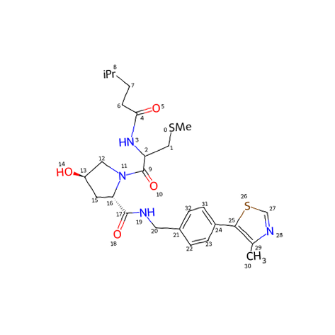 CSCC(NC(=O)CCC(C)C)C(=O)N1C[C@H](O)C[C@H]1C(=O)NCc1ccc(-c2scnc2C)cc1